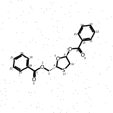 O=C(OC[C@@H]1O[C@@H](OC(=O)c2ccccc2)CS1)c1ccccc1